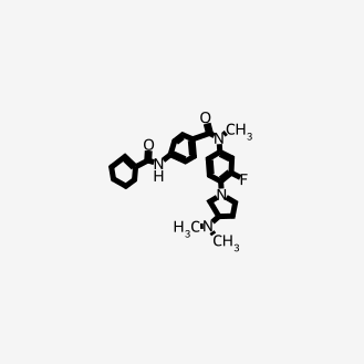 CN(C(=O)c1ccc(NC(=O)C2=CCCCC2)cc1)c1ccc(N2CCC(N(C)C)C2)c(F)c1